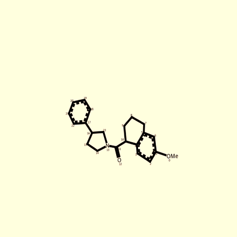 COc1ccc2c(c1)CCCC2C(=O)N1CCC(c2ccccc2)C1